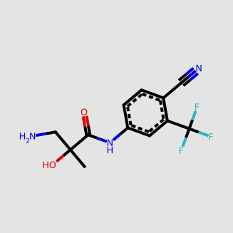 CC(O)(CN)C(=O)Nc1ccc(C#N)c(C(F)(F)F)c1